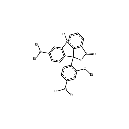 CCOc1cc([As](CC)CC)ccc1C1(c2ccc([As](CC)CC)cc2OCC)OC(=O)c2cccnc21